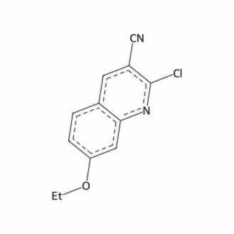 CCOc1ccc2cc(C#N)c(Cl)nc2c1